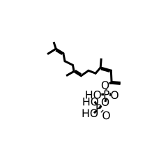 C=C(C=C(C)CCC=C(C)CCC=C(C)C)OP(=O)(O)OP(=O)(O)O